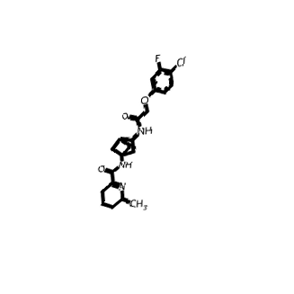 CC1CCCC(C(=O)NC23CC(C2)C(NC(=O)COc2ccc(Cl)c(F)c2)C3)=N1